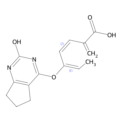 C=C(/C=C\C(=C/C)Oc1nc(O)nc2c1CCC2)C(=O)O